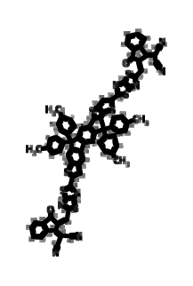 Cc1ccc(C2(c3ccc(C)cc3)c3cc4c(cc3-c3cc5cc(-c6nc7sc(/C=C8\C(=O)c9ccccc9C8=C(C#N)C#N)nc7s6)sc5cc32)C(c2ccc(C)cc2)(c2ccc(C)cc2)c2c-4sc3cc(-c4nc5sc(/C=C6\C(=O)c7ccccc7C6=C(C#N)C#N)nc5s4)sc23)cc1